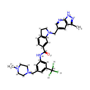 Cc1n[nH]c2ncc(CN3CCc4ccc(C(=O)Nc5cc(CN6CCN(C)CC6)cc(C(F)(F)F)c5)cc43)cc12